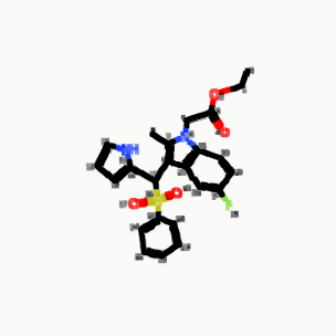 CCOC(=O)Cn1c(C)c(C(c2ccc[nH]2)S(=O)(=O)c2ccccc2)c2cc(F)ccc21